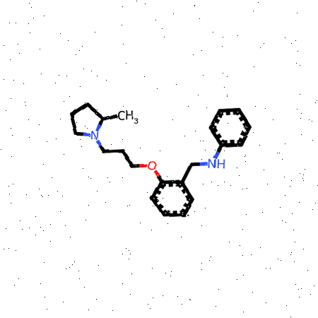 CC1CCCN1CCCOc1cc[c]cc1CNc1ccccc1